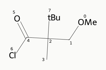 COCC(C)(C(=O)Cl)C(C)(C)C